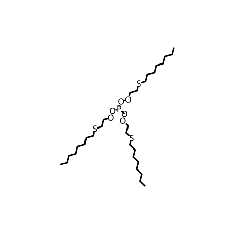 CCCCCCCCSCCOOP(OOCCSCCCCCCCC)OOCCSCCCCCCCC